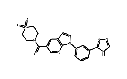 O=C(c1cnc2c(ccn2-c2cccc(-c3nnc[nH]3)c2)c1)N1CCS(=O)(=O)CC1